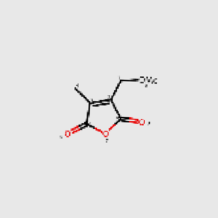 COCC1=C(C)C(=O)OC1=O